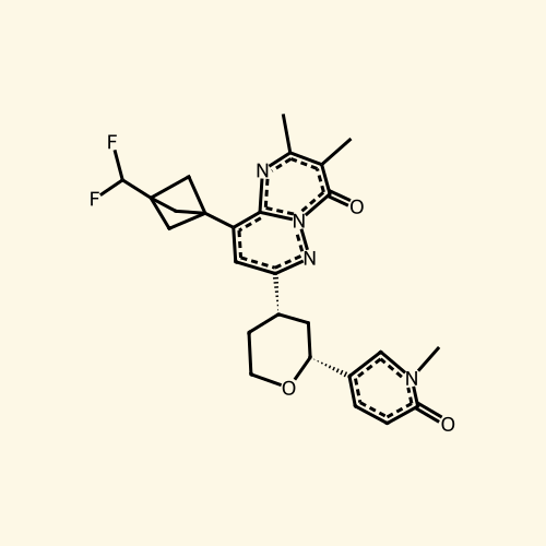 Cc1nc2c(C34CC(C(F)F)(C3)C4)cc([C@H]3CCO[C@@H](c4ccc(=O)n(C)c4)C3)nn2c(=O)c1C